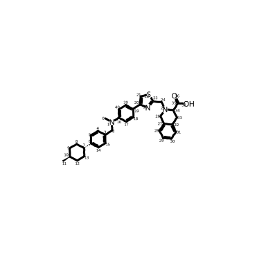 CN(Cc1ccc([C@H]2CC[C@H](C)CC2)cc1)c1ccc(-c2csc(CN3Cc4ccccc4CC3C(=O)O)n2)cc1